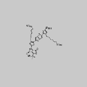 CCCCCCCCCCCCCCCCc1cc(C2=C3C(=O)SC(C(C)(C)CCC)=C3C(=O)S2)sc1-c1cc2sc(-c3sc(C(C)CCC)cc3CCCCCCCCCCCCCCCC)cc2s1